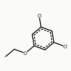 [CH2]COc1cc(Cl)cc(Cl)c1